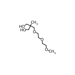 COCCOCCOCC(C)(CO)CO